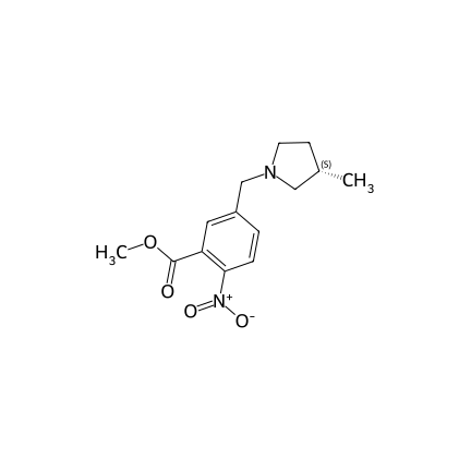 COC(=O)c1cc(CN2CC[C@H](C)C2)ccc1[N+](=O)[O-]